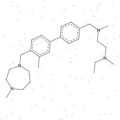 CCN(C)CCN(C)Cc1ccc(-c2ccc(CN3CCCN(C)CC3)c(C)c2)cc1